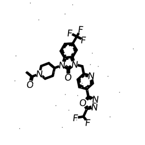 CC(=O)N1CCC(n2c(=O)n(Cc3ccc(-c4nnc(C(F)F)o4)cn3)c3cc(C(F)(F)F)ccc32)CC1